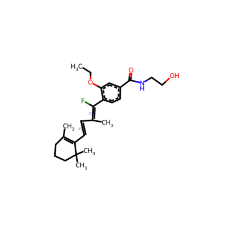 CCOc1cc(C(=O)NCCO)ccc1/C(F)=C(C)/C=C/C1=C(C)CCCC1(C)C